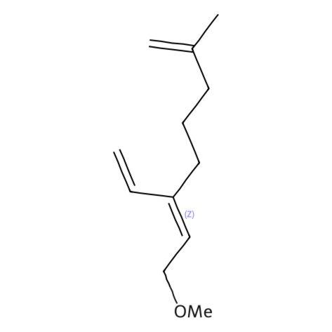 C=C/C(=C\COC)CCCC(=C)C